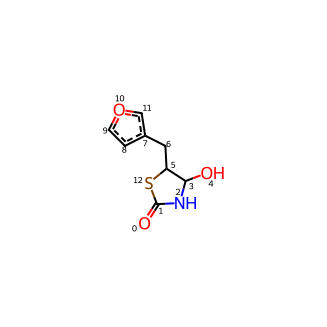 O=C1NC(O)C(Cc2ccoc2)S1